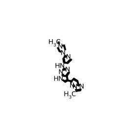 Cc1cnc2ccc(-c3c[nH]c4nc(Nc5ccnc(N6CCN(C)CC6)c5)ncc34)nn12